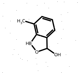 Cc1cccc2c1BOC2O